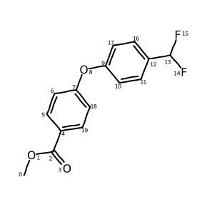 COC(=O)c1ccc(Oc2ccc(C(F)F)cc2)cc1